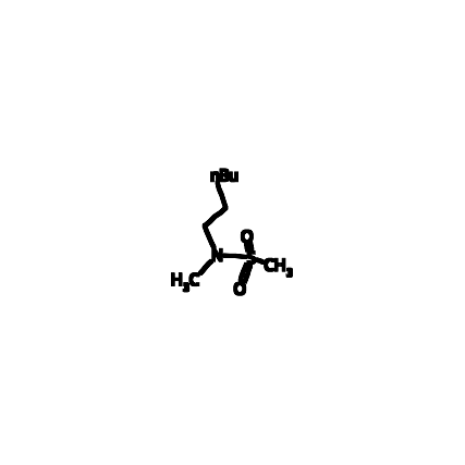 [CH2]CCCCCN(C)S(C)(=O)=O